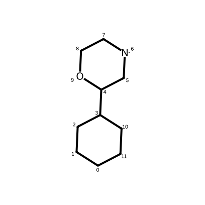 C1CCC(C2C[N]CCO2)CC1